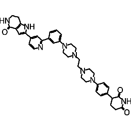 O=C1CCC(c2ccc(N3CCN(CCN4CCN(c5cccc(-c6cc(-c7cc8c([nH]7)CCNC8=O)ccn6)c5)CC4)CC3)cc2)C(=O)N1